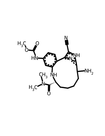 COC(=O)Nc1ccc2c(c1)N[C@@H](C(=O)N(C)C)CCCCC(N)c1nc-2c(C#N)[nH]1